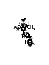 COc1cc(-c2cnc3cc(OC4C[C@H]5CC[C@@H](C4)N5)ccn23)cc(OC(F)F)c1C(=O)NC1CC1